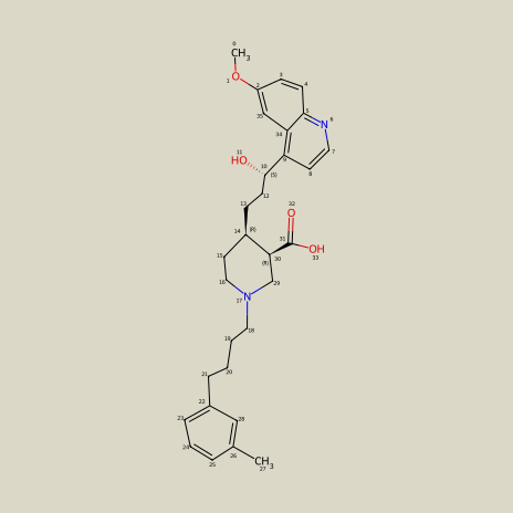 COc1ccc2nccc([C@@H](O)CC[C@@H]3CCN(CCCCc4cccc(C)c4)C[C@@H]3C(=O)O)c2c1